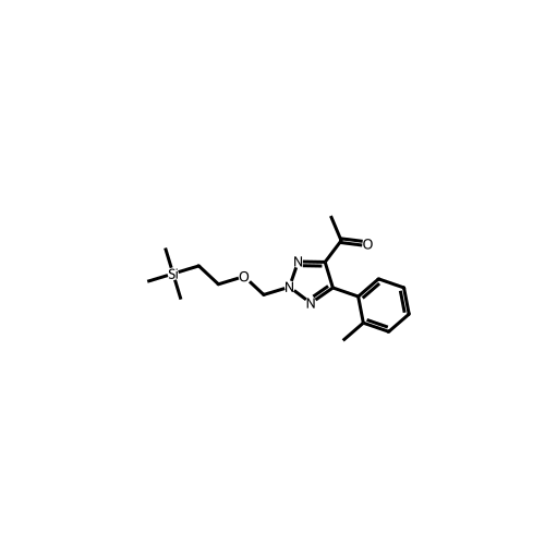 CC(=O)c1nn(COCC[Si](C)(C)C)nc1-c1ccccc1C